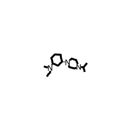 CCN(C)[C@H]1CCC[C@H](N2CCN(C(C)C)CC2)C1